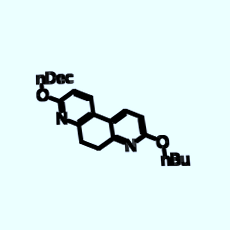 CCCCCCCCCCOc1ccc2c(n1)CCc1nc(OCCCC)ccc1-2